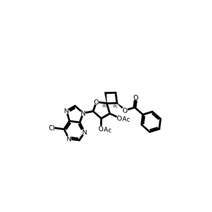 CC(=O)OC1C(n2cnc3c(Cl)ncnc32)O[C@@]2(CC[C@H]2OC(=O)c2ccccc2)C1OC(C)=O